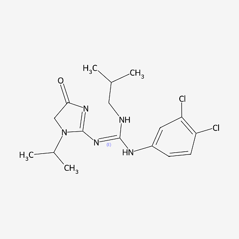 CC(C)CN/C(=N\C1=NC(=O)CN1C(C)C)Nc1ccc(Cl)c(Cl)c1